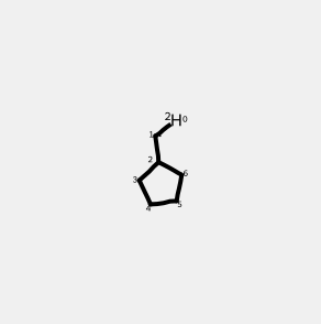 [2H][CH]C1CCCC1